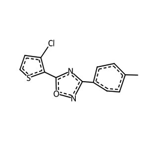 Cc1ccc(-c2noc(-c3sccc3Cl)n2)cc1